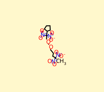 CC(CCCOCOCC(C1CCCC1)([N+](=O)[O-])[N+](=O)[O-])([N+](=O)[O-])[N+](=O)[O-]